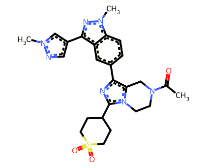 CC(=O)N1CCn2c(C3CCS(=O)(=O)CC3)nc(-c3ccc4c(c3)c(-c3cnn(C)c3)nn4C)c2C1